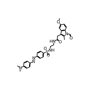 COc1ccc2c(c1)c(CC(=O)NCCNS(=O)(=O)c1ccc(/N=N/c3ccc(N(C)C)cc3)cc1)c(C)n2C=O